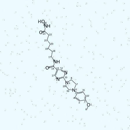 COc1ccc(N2CCN(c3ncc(C(=O)NCCCCCCC(=O)NO)cn3)CC2)cc1